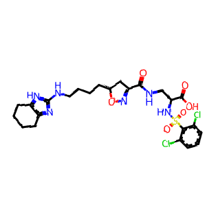 O=C(NCC(NS(=O)(=O)c1c(Cl)cccc1Cl)C(=O)O)C1=NOC(CCCCNc2nc3c([nH]2)CCCC3)C1